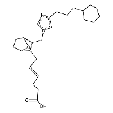 O=C(O)CCC=CCC1C2CCC(O2)C1Cn1cnc(CCCC2CCCCC2)c1